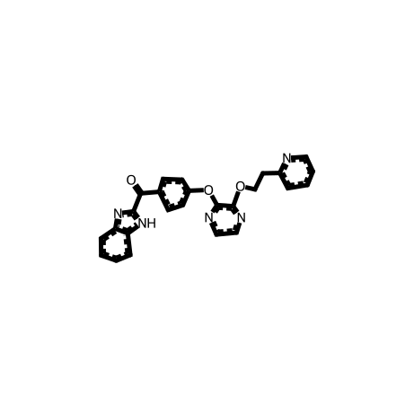 O=C(c1ccc(Oc2nccnc2OCCc2ccccn2)cc1)c1nc2ccccc2[nH]1